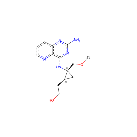 CCOC[C@@]1(Nc2nc(N)nc3cccnc23)C[C@H]1CCO